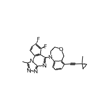 Cc1nnc2nc(N3CCOCc4c(C#CC5(C)CC5)cccc43)c3c(F)c(F)ccc3n12